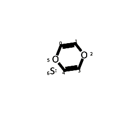 C1=COC=CO1.[S]